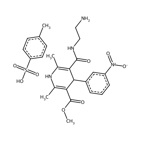 COC(=O)C1=C(C)NC(C)=C(C(=O)NCCN)C1c1cccc([N+](=O)[O-])c1.Cc1ccc(S(=O)(=O)O)cc1